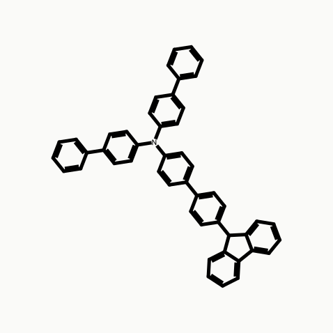 c1ccc(-c2ccc(N(c3ccc(-c4ccccc4)cc3)c3ccc(-c4ccc(C5c6ccccc6-c6ccccc65)cc4)cc3)cc2)cc1